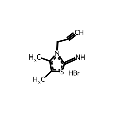 Br.C#CCn1c(C)c(C)sc1=N